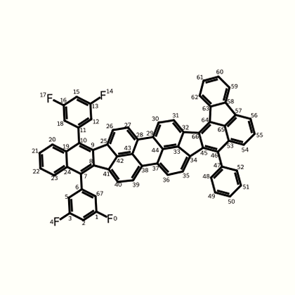 Fc1cc(F)cc(-c2c3c(c(-c4cc(F)cc(F)c4)c4ccccc24)-c2ccc4c5ccc6c7c(ccc(c8ccc-3c2c84)c57)c2c(-c3ccccc3)c3cccc4c5ccccc5c(c34)c62)c1